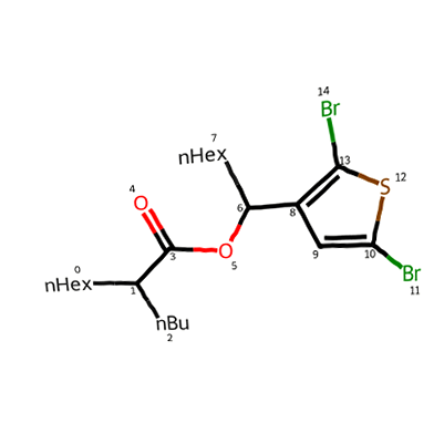 CCCCCCC(CCCC)C(=O)OC(CCCCCC)c1cc(Br)sc1Br